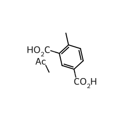 CC(C)=O.Cc1ccc(C(=O)O)cc1C(=O)O